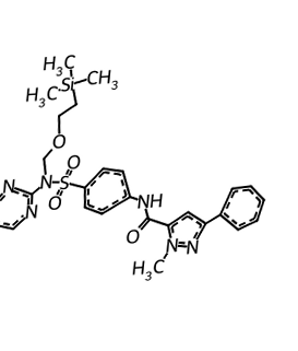 Cn1nc(-c2ccccc2)cc1C(=O)Nc1ccc(S(=O)(=O)N(COCC[Si](C)(C)C)c2ncccn2)cc1